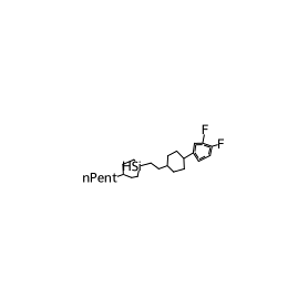 CCCCCC1CC[SiH](CCC2CCC(c3ccc(F)c(F)c3)CC2)CC1